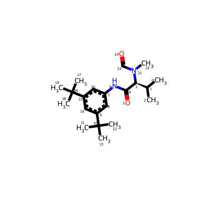 CC(C)[C@@H](C(=O)Nc1cc(C(C)(C)C)cc(C(C)(C)C)c1)N(C)C=O